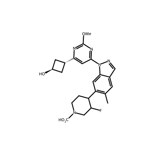 COc1nc(-n2ncc3cc(C)c(C4CCN(C(=O)O)CC4F)cc32)cc([C@H]2C[C@H](O)C2)n1